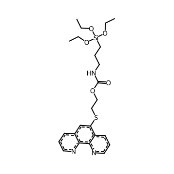 CCO[Si](CCCNC(=O)OCCSc1cc2cccnc2c2ncccc12)(OCC)OCC